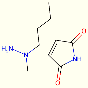 CCCCN(C)N.O=C1C=CC(=O)N1